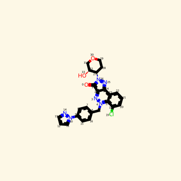 O=c1c2nn(Cc3ccc(-n4cccn4)cc3)c3c(Cl)cccc3c-2nn1[C@H]1CCOC[C@H]1O